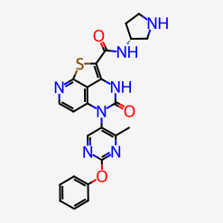 Cc1nc(Oc2ccccc2)ncc1N1C(=O)Nc2c(C(=O)N[C@@H]3CCNC3)sc3nccc1c23